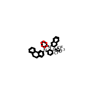 O=S(=O)(Oc1cccc(N(c2ccccc2)c2ccc3c(c2)-c2ccccc2CC3)c1N(c1ccccc1)c1ccc2ccccc2c1)C(F)(F)F